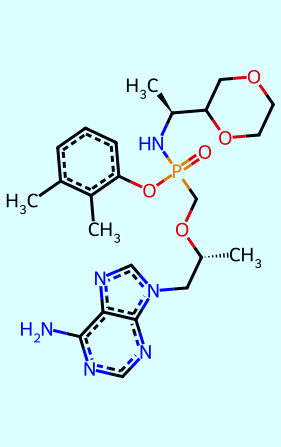 Cc1cccc(OP(=O)(CO[C@H](C)Cn2cnc3c(N)ncnc32)N[C@@H](C)C2COCCO2)c1C